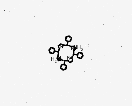 Nn1c2ccc1c(-c1ccccc1)c1nc(c(-c3ccccc3)c3ccc(c(-c4ccccc4)c4nc(c2-c2ccccc2)C=C4)n3N)C=C1